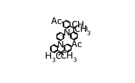 CC(=O)c1ccc2c(c1)N(c1cccc(N3c4ccccc4C(C)(C)c4ccc(C(C)=O)cc43)c1)c1ccccc1C2(C)C